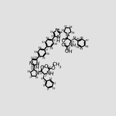 COC(=O)N[C@@H](Cc1ccccc1)C(=O)N1CCCC1c1ncc(-c2ccc(-c3ccc(-c4cnc([C@@H]5CCCN5C(=O)[C@@H](Cc5ccccc5)NC(=O)O)[nH]4)cc3)cc2)[nH]1